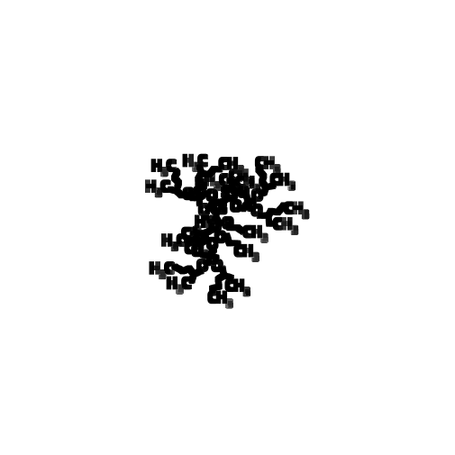 CCCCOc1c(-c2sc(-c3sc(C(C)(C)C)c4c3OCC(COCC(CC)CCCC)(COCC(CC)CCCC)CO4)c3c2OCC(COCC(CC)CCCC)(COCC(CC)CCCC)CO3)[nH]c(-c2sc(C(C)(C)C)c3c2OCC(COCC(CC)CCCC)(COCC(CC)CCCC)CO3)c1OCCCC